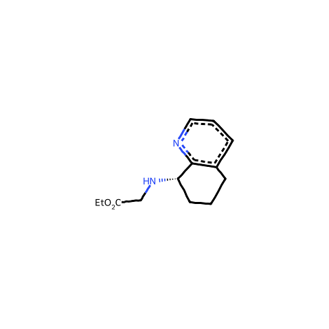 CCOC(=O)CN[C@H]1CCCc2cccnc21